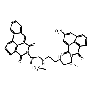 CS(=O)(=O)O.C[C@H](CNCCNC[C@@H](C)N1C(=O)c2cccc3c2c(cc2ccncc23)C1=O)N1C(=O)c2cccc3cc([N+](=O)[O-])cc(c23)C1=O